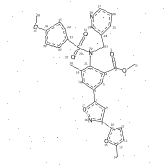 COC(=O)c1cc(-c2cc(-c3ccc(C)o3)no2)cc(C)c1N(Cc1cccnc1)S(=O)(=O)c1ccc(OC)cc1